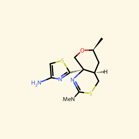 CNC1=N[C@@]2(c3nc(N)cs3)CO[C@@H](C)C[C@H]2CS1